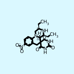 CC[C@@H]1CN2c3ccc([N+](=O)[O-])cc3CC3(C(=O)NC(=O)NC3=O)[C@H]2[C@H](CC)N1